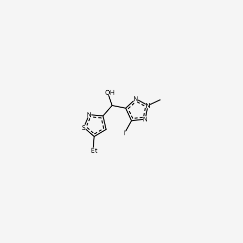 CCc1cc(C(O)c2nn(C)nc2I)ns1